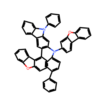 c1ccc(-c2ccc(N(c3ccc4c(c3)oc3ccccc34)c3cc4c(cc3-c3cccc5oc6ccccc6c35)c3ccccc3n4-c3ccccc3)cc2)cc1